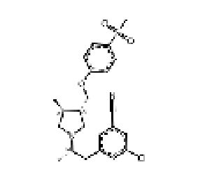 C[C@@H]1CN([C@@H](C)Cc2cc(Cl)cc(C#N)c2)C[C@H]1COc1ccc(S(C)(=O)=O)cc1